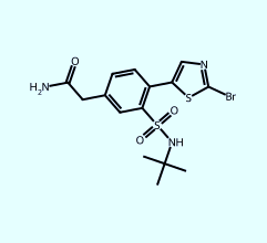 CC(C)(C)NS(=O)(=O)c1cc(CC(N)=O)ccc1-c1cnc(Br)s1